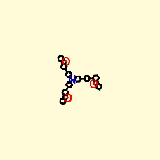 c1ccc2c(c1)oc1cc(-c3ccc(N(c4ccc(-c5ccc(-c6cccc7c6oc6ccccc67)cc5)cc4)c4ccc(-c5ccc6c(c5)oc5ccccc56)cc4)cc3)ccc12